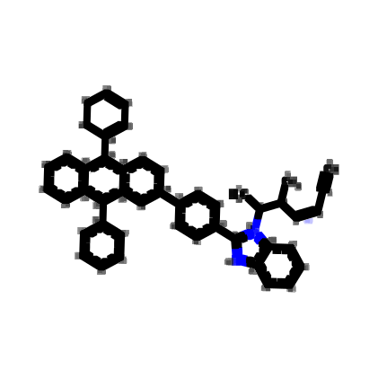 C#C/C=C\C(C)C(C)n1c(-c2ccc(-c3ccc4c(C5=CC=CCC5)c5ccccc5c(-c5ccccc5)c4c3)cc2)nc2ccccc21